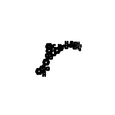 Cc1cc(CC(OC(=O)N2CCC(N3Cc4ccccc4NC3=O)CC2)c2cc3ccccc3cn2)cc2cn(COCC[Si](C)(C)C)nc12